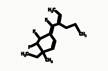 C/C=C(CCC)\C(F)=C1/C=CC(C)(CC)C(F)C1F